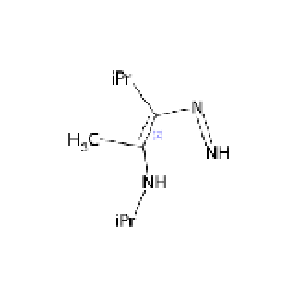 C/C(NC(C)C)=C(/N=N)C(C)C